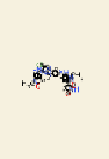 CN1C(=O)Cc2cc(Nc3nc(N(C)[C@H]4CC[C@H](Nc5ccc6c(C7CCC(=O)NC7=O)nn(C)c6c5)CC4)ncc3Cl)ccc21